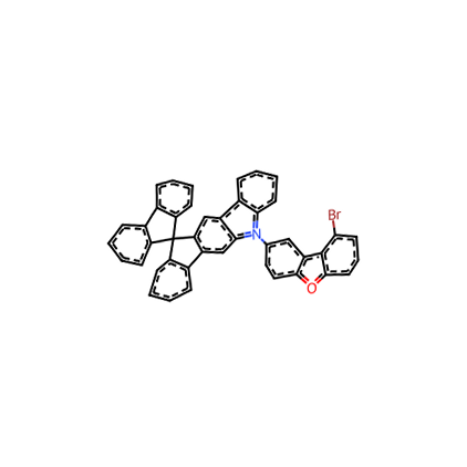 Brc1cccc2oc3ccc(-n4c5ccccc5c5cc6c(cc54)-c4ccccc4C64c5ccccc5-c5ccccc54)cc3c12